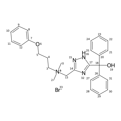 C[N+](C)(CCCOc1ccccc1)Cc1n[nH]c(C(O)(c2ccccc2)c2ccccc2)n1.[Br-]